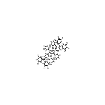 Cc1cc(N(c2cc(C)c(C)c(C)c2)c2ccc3c4c(-c5ccccc5)c5c(c(-c6ccccc6)c4n4c6ccccc6c2c34)c2ccc(N(c3cc(C)c(C)c(C)c3)c3cc(C)c(C)c(C)c3)c3c4ccccc4n5c23)cc(C)c1C